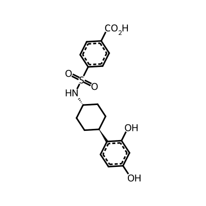 O=C(O)c1ccc(S(=O)(=O)N[C@H]2CC[C@H](c3ccc(O)cc3O)CC2)cc1